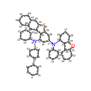 c1ccc(-c2ccc(N(c3ccccc3)c3cc(N(c4ccccc4)c4cccc5oc6ccccc6c45)cc4sc5cc6ccccc6cc5c34)cc2)cc1